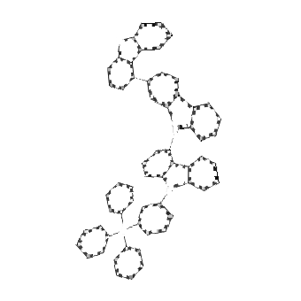 c1ccc([Si](c2ccccc2)(c2ccccc2)c2cccc(-n3c4ccccc4c4c(-n5c6ccccc6c6ccc(-c7cccc8oc9ccccc9c78)cc65)cccc43)c2)cc1